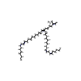 C/C=C(\N)CSSC/C(=C/OCCCCCCCC/C=C/C=C\CCCCCC)OCCCCCCCC/C=C\C/C=C\CCCCC